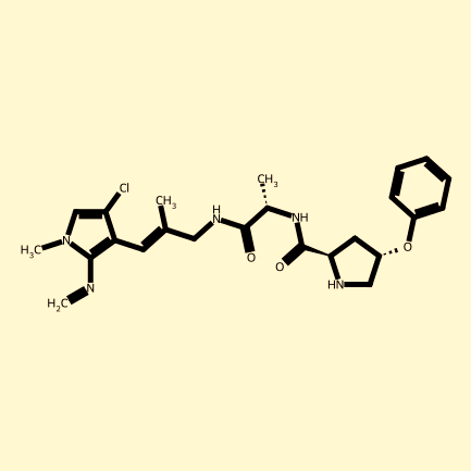 C=Nc1c(/C=C(\C)CNC(=O)[C@H](C)NC(=O)[C@H]2C[C@H](Oc3ccccc3)CN2)c(Cl)cn1C